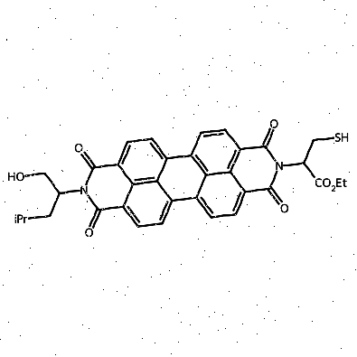 CCOC(=O)C(CS)N1C(=O)c2ccc3c4ccc5c6c(ccc(c7ccc(c2c37)C1=O)c64)C(=O)N(C(CO)CC(C)C)C5=O